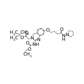 CCOC(=O)NC1=Nc2cc(OCCCC(=O)NN3CCCC3)ccc2CN1CC(=O)OC(C)(C)C